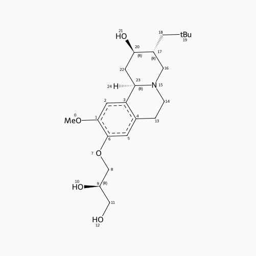 COc1cc2c(cc1OC[C@H](O)CO)CCN1C[C@@H](CC(C)(C)C)[C@H](O)C[C@H]21